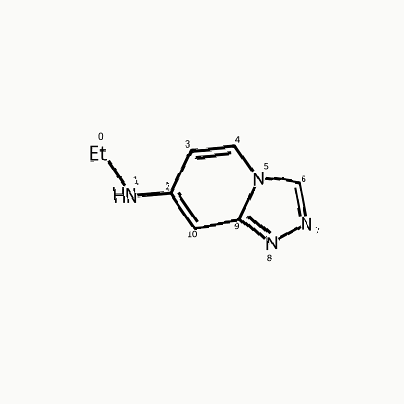 CCNc1ccn2cnnc2c1